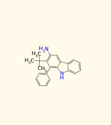 CC(C)(C)c1c(N)cc2c([nH]c3ccccc32)c1-c1ccccc1